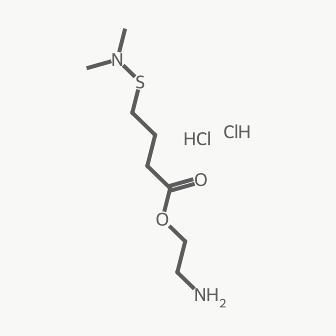 CN(C)SCCCC(=O)OCCN.Cl.Cl